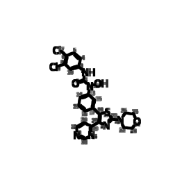 O=C(Nc1ccc(Cl)c(Cl)c1)N(O)c1cccc(-c2sc(N3CCOCC3)nc2-c2ccncn2)c1